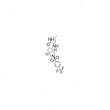 CCC[C@H](N[C@H]1CC[C@@H]2CN(S(=O)(=O)c3ccc(C(F)(F)F)cc3)C[C@@H]21)C(N)=O